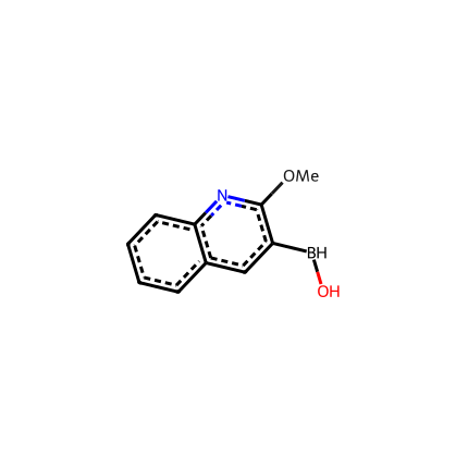 COc1nc2ccccc2cc1BO